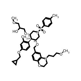 COCCCN1CCOc2ccc(CO[C@H]3CN(S(=O)(=O)c4ccc(C)cc4)C[C@@H](OCC(O)COC)[C@@H]3c3ccc(OCC4CC4)cc3C)cc21